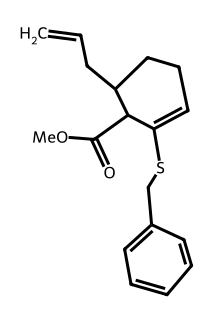 C=CCC1CCC=C(SCc2ccccc2)C1C(=O)OC